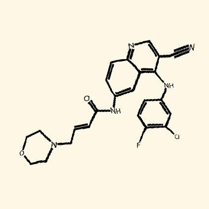 N#Cc1cnc2ccc(NC(=O)C=CCN3CCOCC3)cc2c1Nc1ccc(F)c(Cl)c1